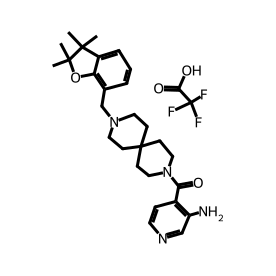 CC1(C)Oc2c(CN3CCC4(CC3)CCN(C(=O)c3ccncc3N)CC4)cccc2C1(C)C.O=C(O)C(F)(F)F